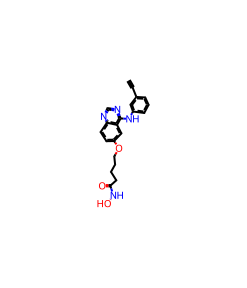 C#Cc1cccc(Nc2ncnc3ccc(OCCCCC(=O)NO)cc23)c1